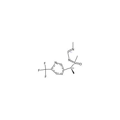 C/N=C/N=S(C)(=O)[C@@H](C)c1ccc(C(F)(F)F)nc1